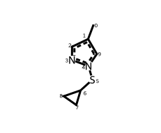 Cc1cnn(SC2CC2)c1